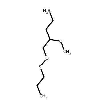 BCCC(COSCCC)OC